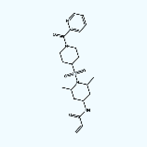 C=CC(=O)NC1CC(C)N(S(=O)(=O)C2CCN(C(=O)c3ccccn3)CC2)C(C)C1